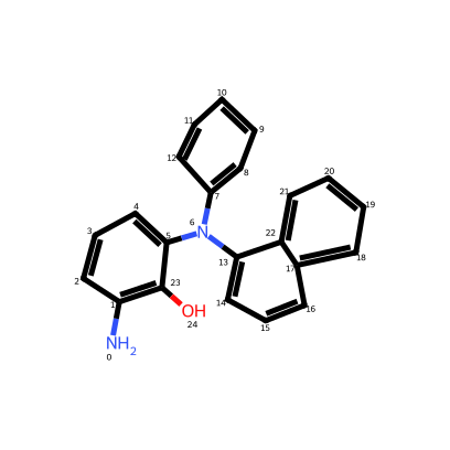 Nc1cccc(N(c2ccccc2)c2cccc3ccccc23)c1O